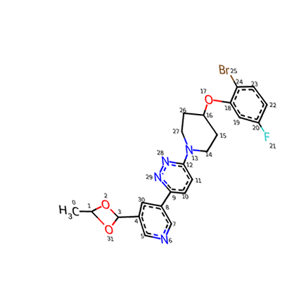 CC1OC(c2cncc(-c3ccc(N4CCC(Oc5cc(F)ccc5Br)CC4)nn3)c2)O1